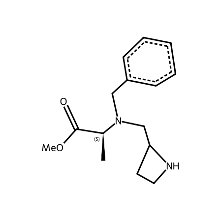 COC(=O)[C@H](C)N(Cc1ccccc1)CC1CCN1